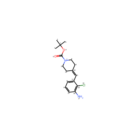 CC(C)(C)OC(=O)N1CCC(=Cc2cccc(N)c2Cl)CC1